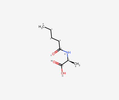 CCCCC(=O)N[C@@H](C)C(=O)O